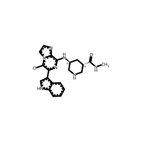 CNC(=O)[C@@H]1CNC[C@@H](Nc2nc(-c3c[nH]c4ccccc34)c(Cl)n3ccnc23)C1